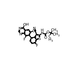 CC(C)(C)OC(=O)Nc1sc2c(F)ccc(-c3c(Cl)cc4c(O)ncnc4c3F)c2c1C#N